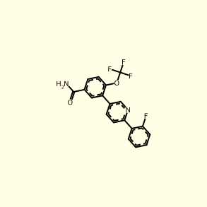 NC(=O)c1ccc(OC(F)(F)F)c(-c2ccc(-c3ccccc3F)nc2)c1